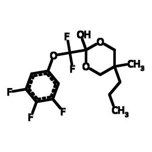 CCCC1(C)COC(O)(C(F)(F)Oc2cc(F)c(F)c(F)c2)OC1